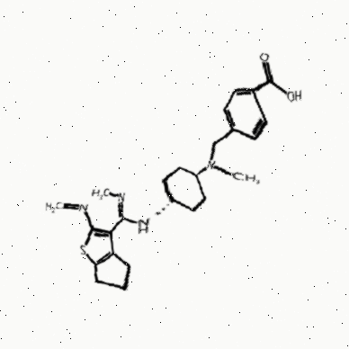 C=Nc1sc2c(c1/C(=N\C)N[C@H]1CC[C@H](N(C)Cc3ccc(C(=O)O)cc3)CC1)CCC2